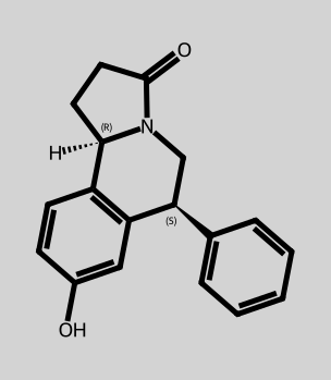 O=C1CC[C@@H]2c3ccc(O)cc3[C@H](c3ccccc3)CN12